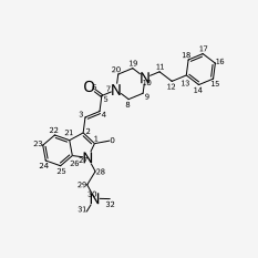 Cc1c(/C=C/C(=O)N2CCN(CCc3ccccc3)CC2)c2ccccc2n1CCN(C)C